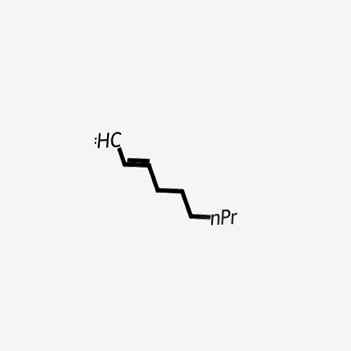 [CH]C=CCCCCCC